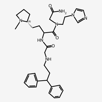 CN1CCC[C@@H]1CCC(NC(=O)CNCCC(c1ccccc1)c1ccccc1)C(=O)N(CCn1ccnc1)CC(N)=O